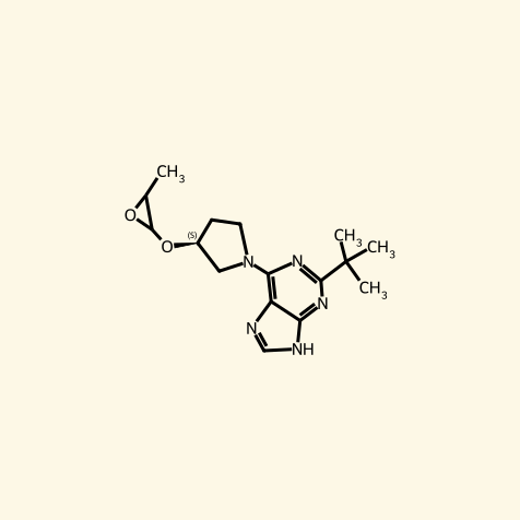 CC1OC1O[C@H]1CCN(c2nc(C(C)(C)C)nc3[nH]cnc23)C1